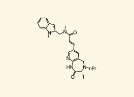 CCCN1Cc2cc(/C=C/C(=O)N(C)Cc3cc4ccccc4n3C)cnc2NC(=O)[C@H]1I